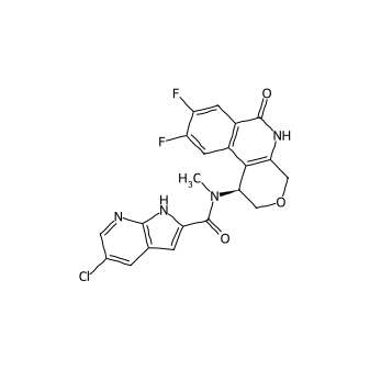 CN(C(=O)c1cc2cc(Cl)cnc2[nH]1)[C@@H]1COCc2[nH]c(=O)c3cc(F)c(F)cc3c21